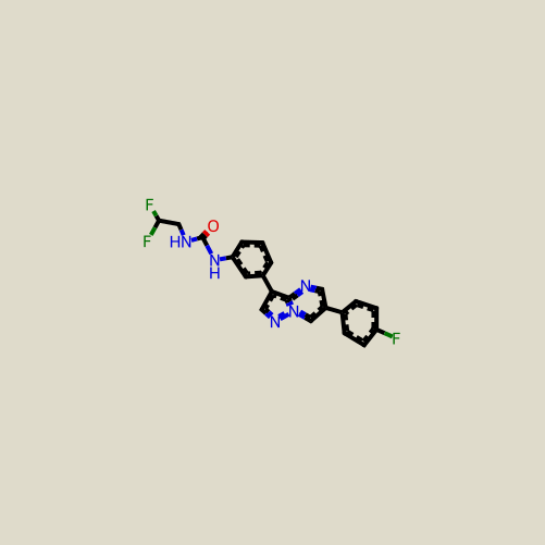 O=C(NCC(F)F)Nc1cccc(-c2cnn3cc(-c4ccc(F)cc4)cnc23)c1